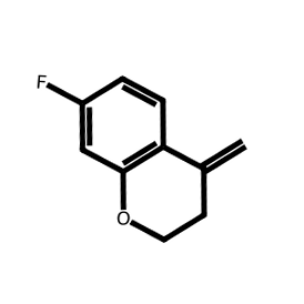 C=C1CCOc2cc(F)ccc21